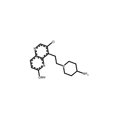 COc1ccc2ncc(Cl)c(CCN3CCC(N)CC3)c2n1